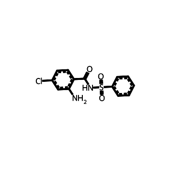 Nc1cc(Cl)ccc1C(=O)NS(=O)(=O)c1ccccc1